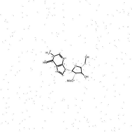 CO[C@H]1C(O)[C@@H](CO)O[C@H]1n1cnc2c(=N)n(C)cnc21